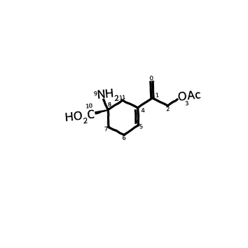 C=C(COC(C)=O)C1=CCC[C@@](N)(C(=O)O)C1